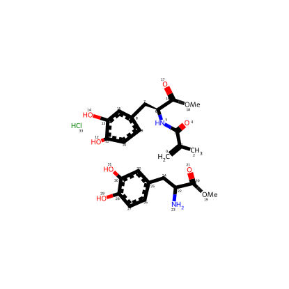 C=C(C)C(=O)N[C@@H](Cc1ccc(O)c(O)c1)C(=O)OC.COC(=O)C(N)Cc1ccc(O)c(O)c1.Cl